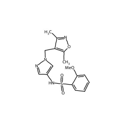 COc1ccccc1S(=O)(=O)Nc1cnn(Cc2c(C)noc2C)c1